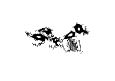 C=Cc1cc(S(=O)(=O)N(Cc2ccc(OC)cc2OC)c2ccncn2)cnc1O[C@H]1CC[C@H](c2cccc(C(F)(F)F)c2)C[C@@H]1N(C)C